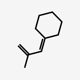 C=C(C)C=C1CCCCC1